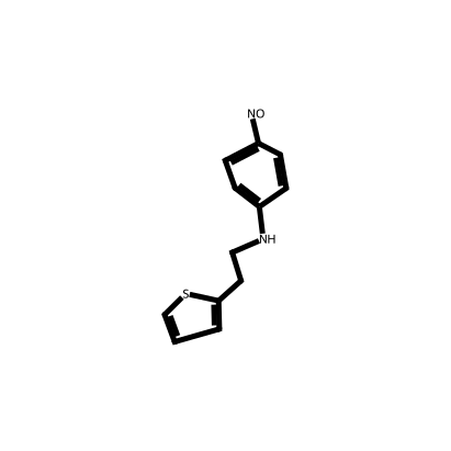 O=Nc1ccc(NCCc2cccs2)cc1